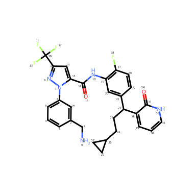 NCc1cccc(-n2nc(C(F)(F)F)cc2C(=O)Nc2cc(C(CCC3CC3)c3ccc[nH]c3=O)ccc2F)c1